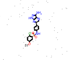 CCOc1ccc(Cl)c(S(=O)(=O)Nc2ccc(-c3cnc4c(N)n[nH]c4n3)cc2)c1